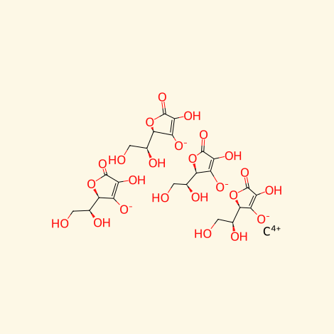 O=C1O[C@H]([C@@H](O)CO)C([O-])=C1O.O=C1O[C@H]([C@@H](O)CO)C([O-])=C1O.O=C1O[C@H]([C@@H](O)CO)C([O-])=C1O.O=C1O[C@H]([C@@H](O)CO)C([O-])=C1O.[C+4]